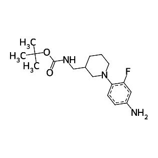 CC(C)(C)OC(=O)NCC1CCCN(c2ccc(N)cc2F)C1